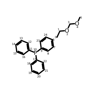 CCOCOC.c1ccc(P(c2ccccc2)c2ccccc2)cc1